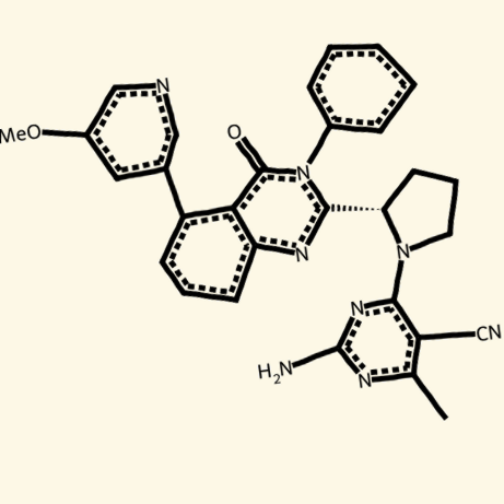 COc1cncc(-c2cccc3nc([C@@H]4CCCN4c4nc(N)nc(C)c4C#N)n(-c4ccccc4)c(=O)c23)c1